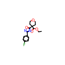 CCOC(=O)C1(c2nc(-c3ccc(F)cc3)no2)CCOCC1